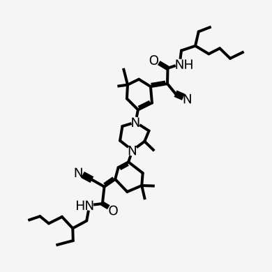 CCCCC(CC)CNC(=O)/C(C#N)=C1/C=C(N2CCN(C3=C/C(=C(\C#N)C(=O)NCC(CC)CCCC)CC(C)(C)C3)C(C)C2)CC(C)(C)C1